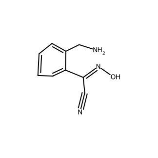 N#CC(=NO)c1ccccc1CN